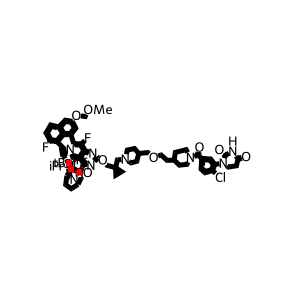 COCOc1cc(-c2ncc3c(N4CC5CCC(C4)N5C(=O)OC(C)(C)C)nc(OCC4(CN5CCC(COCCC6CCN(C(=O)c7ccc(Cl)c(N8CCC(=O)NC8=O)c7)CC6)CC5)CC4)nc3c2F)c2c(C#C[Si](C(C)C)(C(C)C)C(C)C)c(F)ccc2c1